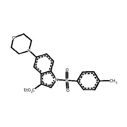 CCOC(=O)c1cn(S(=O)(=O)c2ccc(C)cc2)c2ccc(N3CCOCC3)cc12